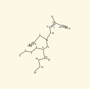 CCCCC(CC(CC#N)C/C=C(/C)C#N)C(C)CCC